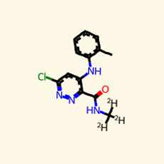 [2H]C([2H])([2H])NC(=O)c1nnc(Cl)cc1Nc1ccccc1C